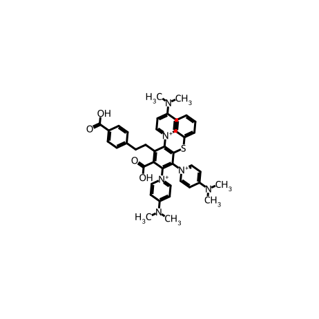 CN(C)c1cc[n+](-c2c(CCc3ccc(C(=O)O)cc3)c(C(=O)O)c(-[n+]3ccc(N(C)C)cc3)c(-[n+]3ccc(N(C)C)cc3)c2Sc2ccccc2)cc1